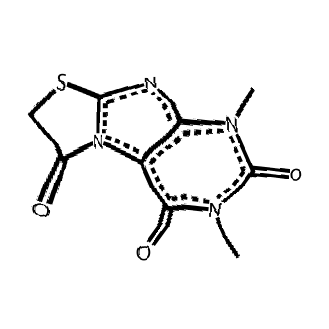 Cn1c(=O)c2c(nc3n2C(=O)CS3)n(C)c1=O